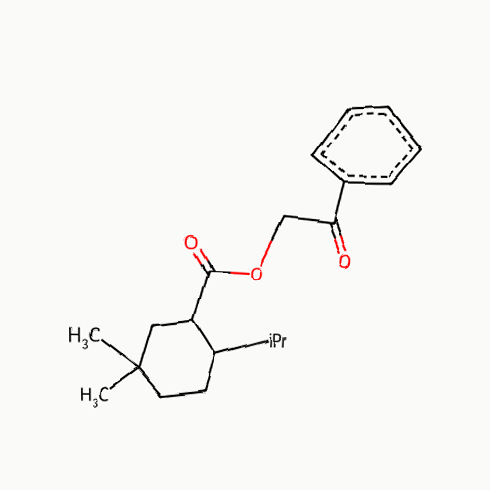 CC(C)C1CCC(C)(C)CC1C(=O)OCC(=O)c1ccccc1